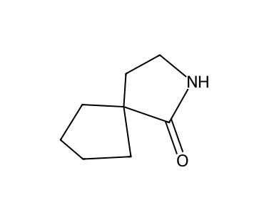 O=C1NCCC12CCCC2